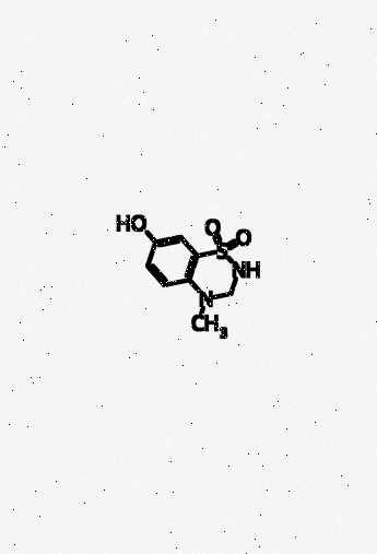 CN1CNS(=O)(=O)c2cc(O)ccc21